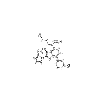 CCn1c(-c2nonc2N)nc2c(-c3cccc(Cl)c3)ncc(N(CCCBr)C(=O)O)c21